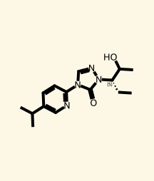 CC[C@@H](C(C)O)n1ncn(-c2ccc(C(C)C)cn2)c1=O